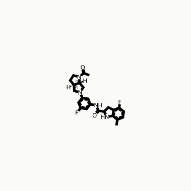 CC(=O)N1CC[C@@H]2CN(c3cc(F)cc(NC(=O)C4Cc5c(F)ccc(C)c5N4)c3)C[C@H]21